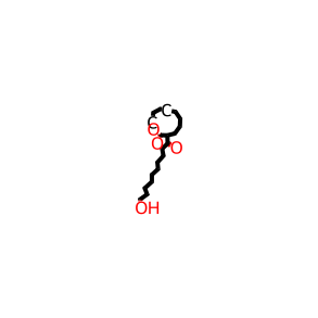 O=C(CCCCCCCCCO)C1CCCCCCCCOC1=O